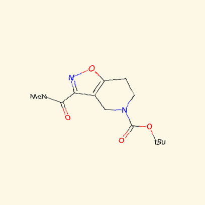 CNC(=O)c1noc2c1CN(C(=O)OC(C)(C)C)CC2